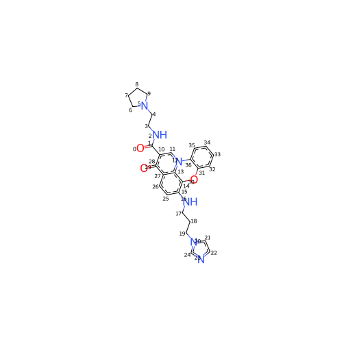 O=C(NCCN1CCCC1)c1cn2c3c(c(NCCCn4ccnc4)ccc3c1=O)Oc1ccccc1-2